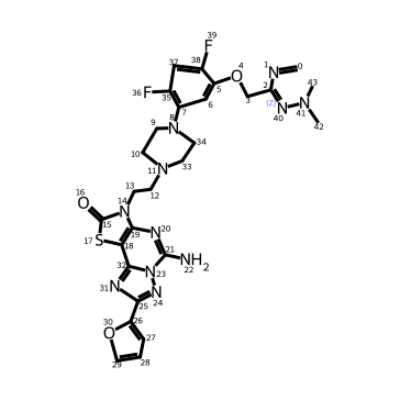 C=N/C(COc1cc(N2CCN(CCn3c(=O)sc4c3nc(N)n3nc(-c5ccco5)nc43)CC2)c(F)cc1F)=N\N(C)C